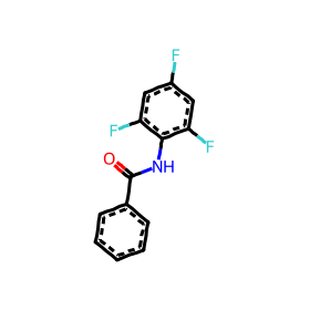 O=C(Nc1c(F)cc(F)cc1F)c1ccccc1